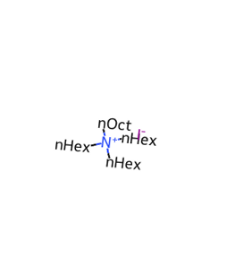 CCCCCCCC[N+](CCCCCC)(CCCCCC)CCCCCC.[I-]